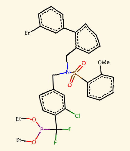 CCOP(OCC)C(F)(F)c1ccc(CN(Cc2ccccc2-c2cccc(CC)c2)S(=O)(=O)c2ccccc2OC)cc1Cl